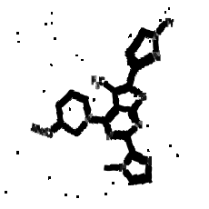 COC1CCCN(c2nc(-c3nccn3C)nc3sc(-c4ccn(C(C)C)n4)c(C(F)(F)F)c23)C1